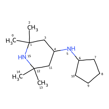 CC1(C)CC(NC2CCCC2)CC(C)(C)N1